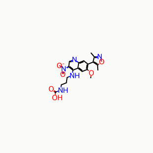 COc1cc2c(NCCCNC(=O)O)c([N+](=O)[O-])cnc2cc1-c1c(C)noc1C